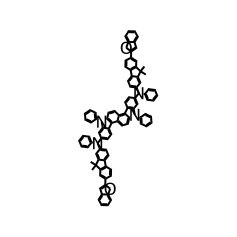 CC1(C)c2cc(-c3cc4ccccc4o3)ccc2-c2ccc(N(c3ccccc3)c3ccc4c5c6ccc7c(c6ccc5n(-c5ccccc5)c4c3)c3ccc(N(c4ccccc4)c4ccc5c(c4)C(C)(C)c4cc(-c6cc8ccccc8o6)ccc4-5)cc3n7-c3ccccc3)cc21